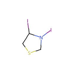 IC1CSCN1I